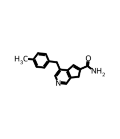 Cc1ccc(Cc2cncc3c2C=C(C(N)=O)C3)cc1